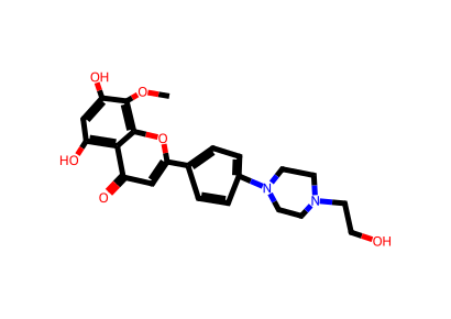 COc1c(O)cc(O)c2c(=O)cc(-c3ccc(N4CCN(CCO)CC4)cc3)oc12